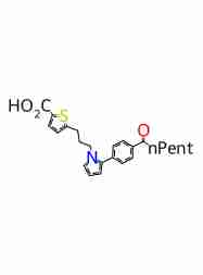 CCCCCC(=O)c1ccc(-c2cccn2CCCc2ccc(C(=O)O)s2)cc1